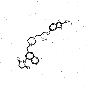 Cc1nc2cc(OC[C@H](O)CN3CCN(Cc4cc(N5C(=O)CCC5=O)c5ccccc5c4)CC3)ccc2s1